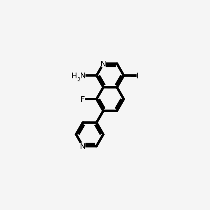 Nc1ncc(I)c2ccc(-c3ccncc3)c(F)c12